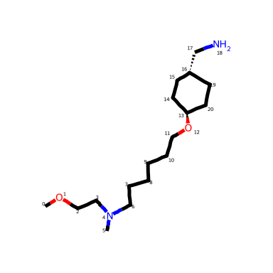 COCCN(C)CCCCCCO[C@H]1CC[C@H](CN)CC1